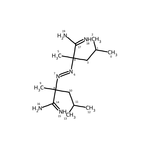 CC(C)CC(C)(N=NC(C)(CC(C)C)C(=N)N)C(=N)N